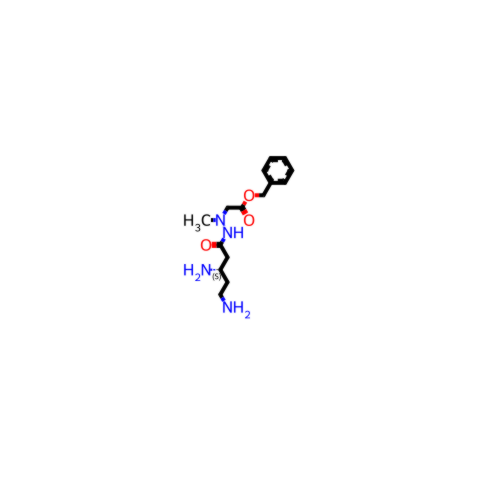 CN(CC(=O)OCc1ccccc1)NC(=O)C[C@@H](N)CCN